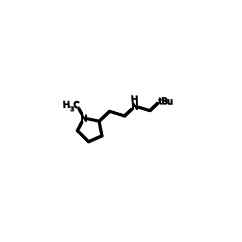 CN1CCCC1CCNCC(C)(C)C